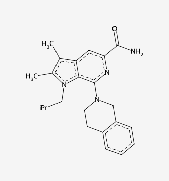 Cc1c(C)n(CC(C)C)c2c(N3CCc4ccccc4C3)nc(C(N)=O)cc12